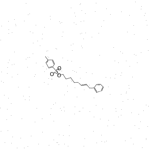 Cc1ccc(S(=O)(=O)OCCCCCC=CCc2ccccc2)cc1